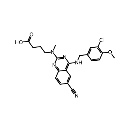 COc1ccc(CNc2nc(N(C)CCCC(=O)O)nc3ccc(C#N)cc23)cc1Cl